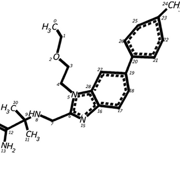 CCOCCn1c(CNC(C)(C)C(N)=O)nc2ccc(-c3ccc(C)cc3)cc21